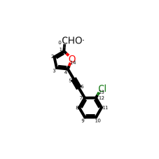 O=[C]c1ccc(C#Cc2ccccc2Cl)o1